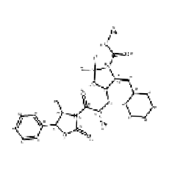 CC(C)[C@@H](CC1OC(C)(C)N(C(=O)OC(C)(C)C)[C@H]1CC1CCCCC1)C(=O)N1C(=O)OC(c2ccccc2)C1C